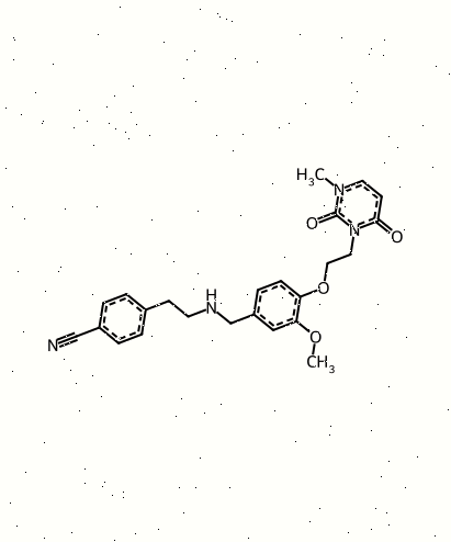 COc1cc(CNCCc2ccc(C#N)cc2)ccc1OCCn1c(=O)ccn(C)c1=O